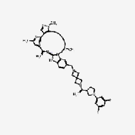 C=C1/N=C2\Nc3ccc(CN4CC5(C4)CN(C(=C)C4CCN(c6cc(F)cc(F)c6)C4)C5)cc3N2C[C@H](C)CCCCc2c(cnn2C)-c2cc1cc(C)n2